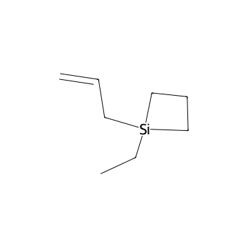 C=CC[Si]1(CC)CCC1